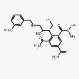 CCCN(CCC)C(=O)c1cc(C(N)=O)cc(C(N)=O)c1[C@H](CC(C)C)[C@@H](O)CNCc1cccc(OC)c1